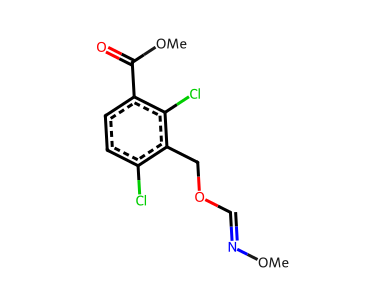 CON=COCc1c(Cl)ccc(C(=O)OC)c1Cl